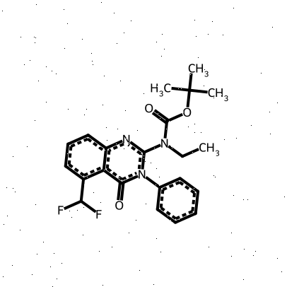 CCN(C(=O)OC(C)(C)C)c1nc2cccc(C(F)F)c2c(=O)n1-c1ccccc1